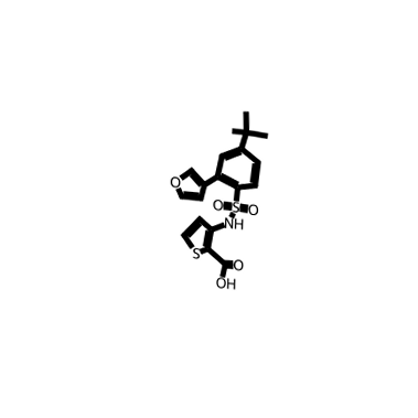 CC(C)(C)c1ccc(S(=O)(=O)Nc2ccsc2C(=O)O)c(-c2ccoc2)c1